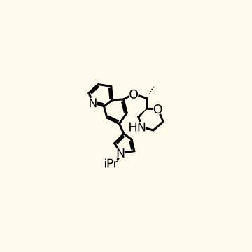 CC(C)n1ccc(-c2cc(O[C@H](C)[C@@H]3CNCCO3)c3cccnc3c2)c1